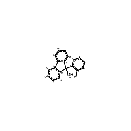 Cc1ccccc1C1(O)c2ccccc2-c2ccccc21